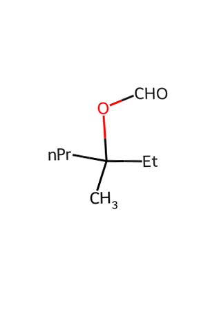 CCCC(C)(CC)OC=O